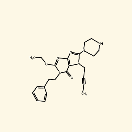 CC#CCn1c(N2CCNCC2)nc2nc(OCC)n(CCc3ccccc3)c(=O)c21